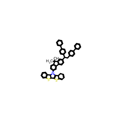 CC1(C)c2ccc(N3C4=C(SC5=CC=CCC54)C4Sc5ccccc5C43)cc2-c2ccc(C(Cc3ccc(-c4ccccc4)cc3)c3ccc(-c4ccccc4)cc3)cc21